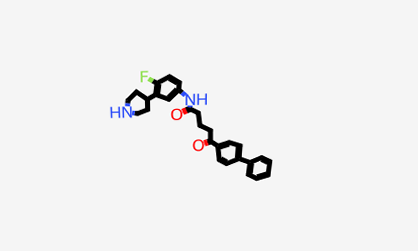 O=C(CCCC(=O)c1ccc(-c2ccccc2)cc1)Nc1ccc(F)c(C2CCNCC2)c1